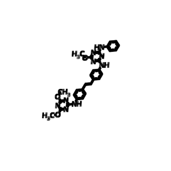 COc1nc(Nc2ccccc2)nc(Nc2ccc(C=Cc3ccc(Nc4nc(OC)nc(OC)n4)cc3)cc2)n1